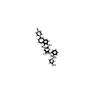 COc1c(Nc2ncc(Cl)c(Nc3ccccc3S(=O)(=O)N3CC[C@@H](O)C3)n2)ccc2c1CCCC(N1CCN(C)CC1)C2